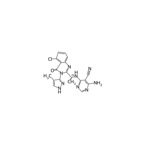 Cc1c[nH]nc1-n1c([C@H](C)Nc2ncnc(N)c2C#N)nc2cccc(Cl)c2c1=O